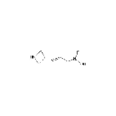 C1CNC1.C=CCN(O)F